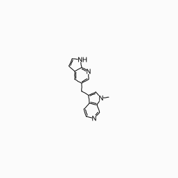 Cn1cc(Cc2cnc3[nH]ccc3c2)c2ccncc21